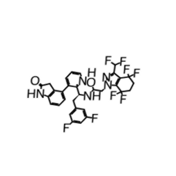 O=C1Cc2c(cccc2-c2cccnc2[C@H](Cc2cc(F)cc(F)c2)NC(O)Cn2nc(C(F)F)c3c2C(F)(F)CCC3(F)F)N1